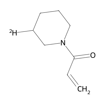 [2H]C1CCCN(C(=O)C=C)C1